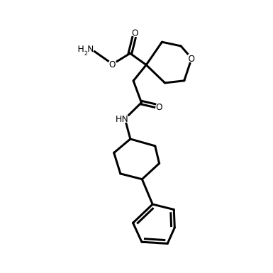 NOC(=O)C1(CC(=O)NC2CCC(c3ccccc3)CC2)CCOCC1